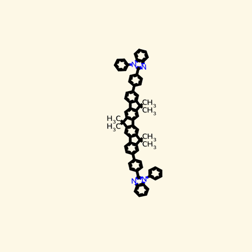 CC1(C)c2cc(-c3ccc(-c4nc5ccccc5n4-c4ccccc4)cc3)ccc2-c2cc3c(cc21)-c1cc2c(cc1C3(C)C)-c1ccc(-c3ccc(-c4nc5ccccc5n4-c4ccccc4)cc3)cc1C2(C)C